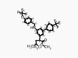 COC(=O)C(CC(C)C)c1cc(NCc2ccc(OC(F)(F)F)cc2)cc(-c2ccc(C(F)(F)F)cc2)c1